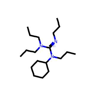 CCC/N=C(\N(CCC)CCC)N(CCC)C1CCCCC1